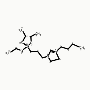 CCCC[N+]1=CN(CCC[Si](OCC)(OCC)OCC)CC1